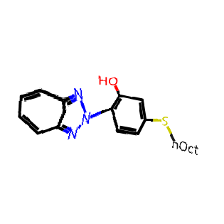 CCCCCCCCSc1ccc(-n2nc3ccccc3n2)c(O)c1